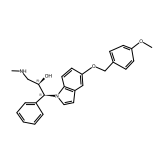 CNC[C@@H](O)[C@H](c1ccccc1)n1ccc2cc(OCc3ccc(OC)cc3)ccc21